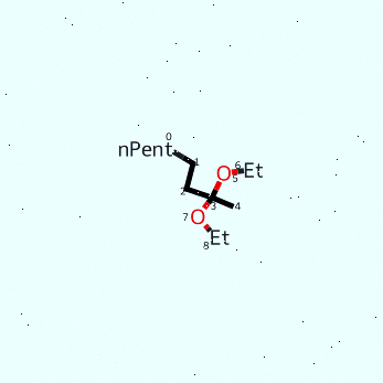 CCCCCCCC(C)(OCC)OCC